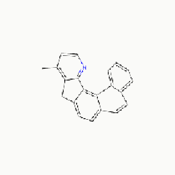 Cc1ccnc2c1Cc1ccc3ccc4ccccc4c3c1-2